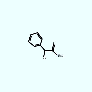 CNC(=O)C(c1ccccc1)C(C)C